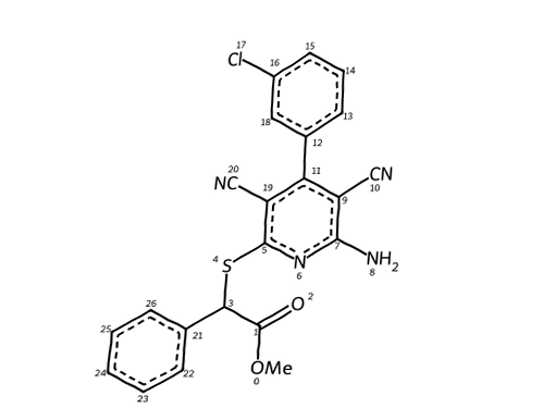 COC(=O)C(Sc1nc(N)c(C#N)c(-c2cccc(Cl)c2)c1C#N)c1ccccc1